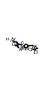 C=C(C)/C(=C\C(Cl)=C/N)C(=O)NC1CCC(Cn2nc(C)c(Cl)c2OC)CC1